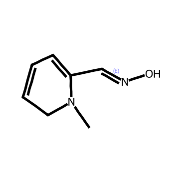 CN1CC=CC=C1/C=N/O